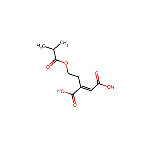 CC(C)C(=O)OCC/C(=C\C(=O)O)C(=O)O